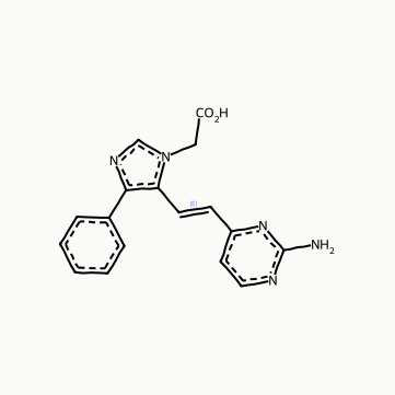 Nc1nccc(/C=C/c2c(-c3ccccc3)ncn2CC(=O)O)n1